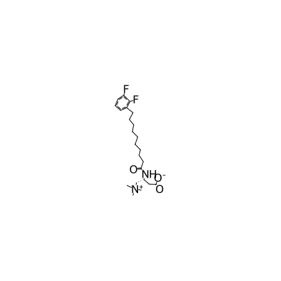 C[N+](C)(C)C[C@@H](CC(=O)[O-])NC(=O)CCCCCCCCCc1cccc(F)c1F